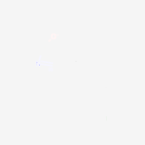 C/C(=N/[S+]([O-])C(C)(C)C)C1(c2ccc(Cl)c(Cl)c2)CCCCC1